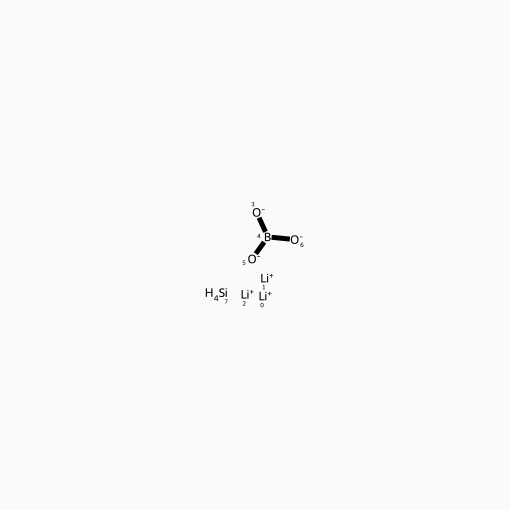 [Li+].[Li+].[Li+].[O-]B([O-])[O-].[SiH4]